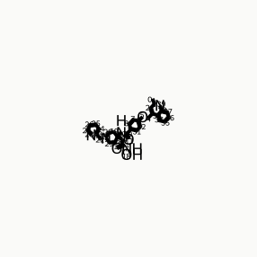 Cc1cc(COc2ccc(C(=O)NC3(CC(=O)NO)CCN(Cc4ccccn4)CC3)cc2)c2ccccc2n1